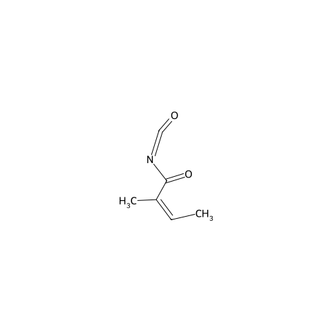 CC=C(C)C(=O)N=C=O